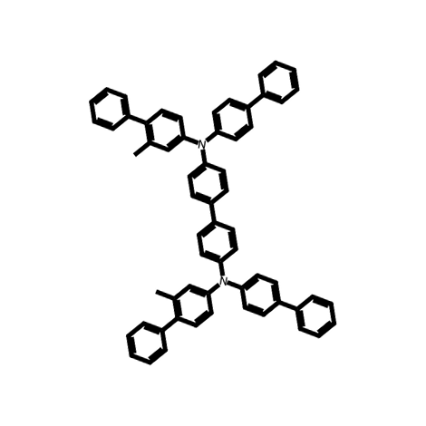 Cc1cc(N(c2ccc(-c3ccccc3)cc2)c2ccc(-c3ccc(N(c4ccc(-c5ccccc5)cc4)c4ccc(-c5ccccc5)c(C)c4)cc3)cc2)ccc1-c1ccccc1